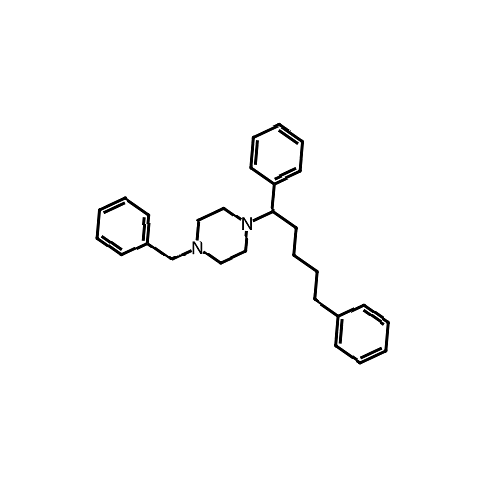 c1ccc(CCCCC(c2ccccc2)N2CCN(Cc3ccccc3)CC2)cc1